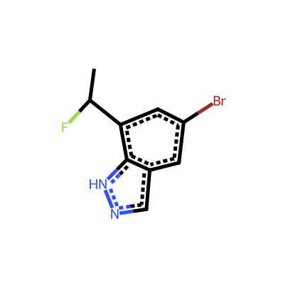 CC(F)c1cc(Br)cc2cn[nH]c12